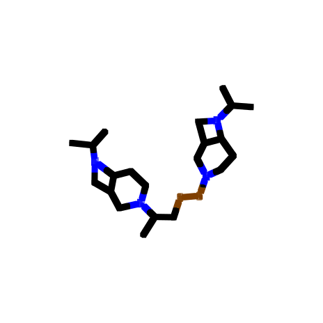 CC(CSSN1CCC2C(C1)CN2C(C)C)N1CCC2C(C1)CN2C(C)C